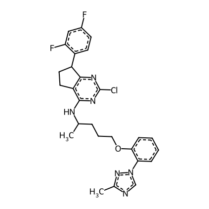 Cc1ncn(-c2ccccc2OCCCC(C)Nc2nc(Cl)nc3c2CCC3c2ccc(F)cc2F)n1